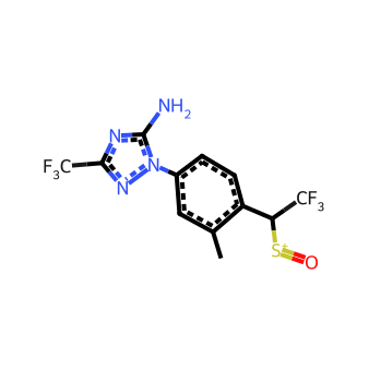 Cc1cc(-n2nc(C(F)(F)F)nc2N)ccc1C([S+]=O)C(F)(F)F